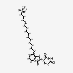 O=C1CCC(N2Cc3c(SCCCCCCCCCSCCCC(F)(F)C(F)(F)F)cccc3C2=O)C(=O)N1